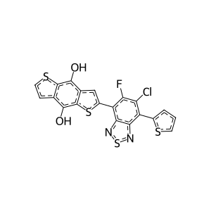 Oc1c2cc(-c3c(F)c(Cl)c(-c4cccs4)c4nsnc34)sc2c(O)c2ccsc12